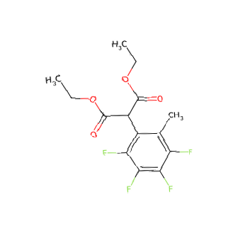 CCOC(=O)C(C(=O)OCC)c1c(C)c(F)c(F)c(F)c1F